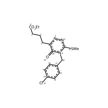 CCOC(=O)CCCc1nnc(SC)n(Cc2ccc(Cl)cc2)c1=O